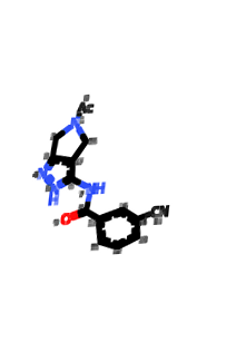 CC(=O)N1Cc2n[nH]c(NC(=O)c3cccc(C#N)c3)c2C1